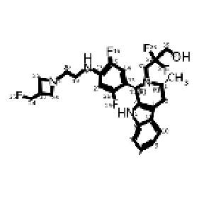 C[C@@H]1Cc2c([nH]c3ccccc23)[C@@H](c2cc(F)c(NCCN3CC(CF)C3)cc2F)N1CC(F)(F)CO